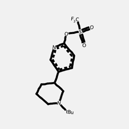 CC(C)(C)N1CCCC(c2ccc(OS(=O)(=O)C(F)(F)F)nc2)C1